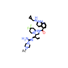 C=C/C(=C\N=C(/N)N1CCN(C(C)=O)CC1)C(CNC(=O)c1cccc(=C)/c1=C\C=C(/N)NCC1CC1)N1CCC(F)(F)CC1